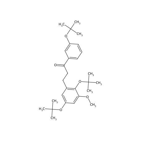 COc1cc(OC(C)(C)C)cc(CCC(=O)c2cccc(OC(C)(C)C)c2)c1OC(C)(C)C